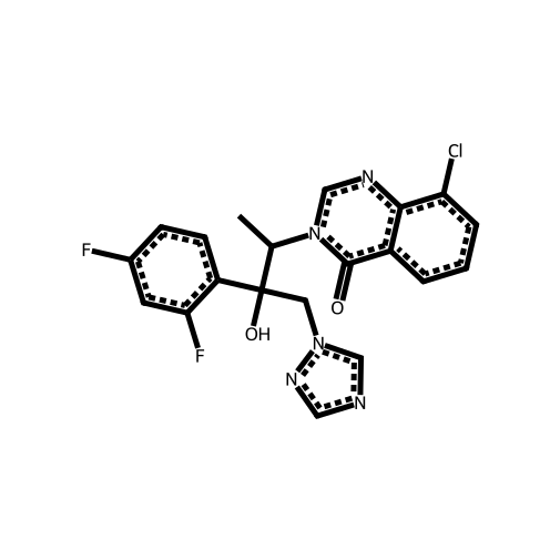 CC(n1cnc2c(Cl)cccc2c1=O)C(O)(Cn1cncn1)c1ccc(F)cc1F